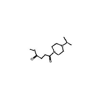 CSC(=O)CCC(=O)N1CCN(C(C)C)CC1